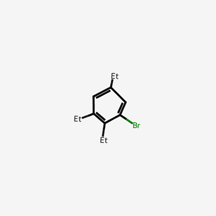 CCc1cc(Br)c(CC)c(CC)c1